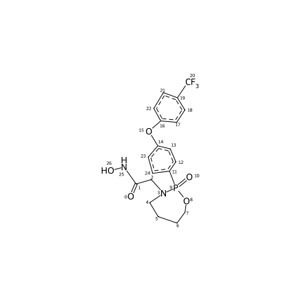 O=C(CN1CCCCOP1(=O)c1ccc(Oc2ccc(C(F)(F)F)cc2)cc1)NO